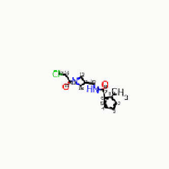 Cc1ccccc1C(=O)NCC1CN(C(=O)CCl)C1